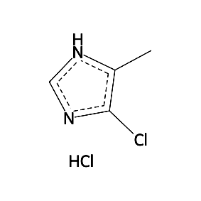 Cc1[nH]cnc1Cl.Cl